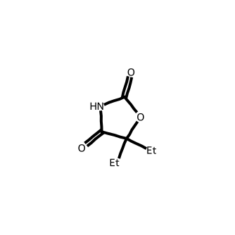 CCC1(CC)OC(=O)NC1=O